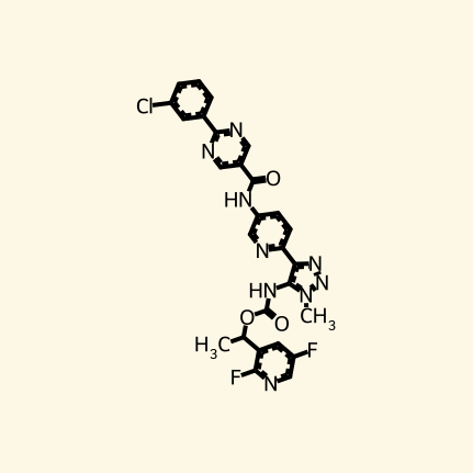 CC(OC(=O)Nc1c(-c2ccc(NC(=O)c3cnc(-c4cccc(Cl)c4)nc3)cn2)nnn1C)c1cc(F)cnc1F